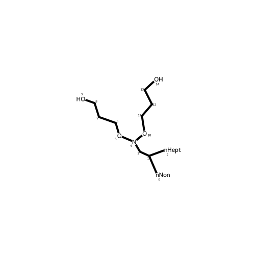 CCCCCCCCCC(CCCCCCC)CN(OCCCO)OCCCO